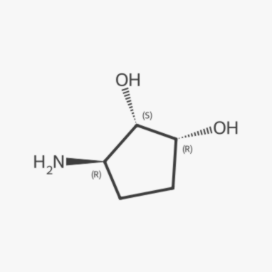 N[C@@H]1CC[C@@H](O)[C@H]1O